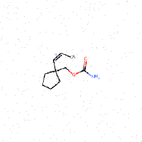 N#C/C=C\C1(COC(N)=O)CCCC1